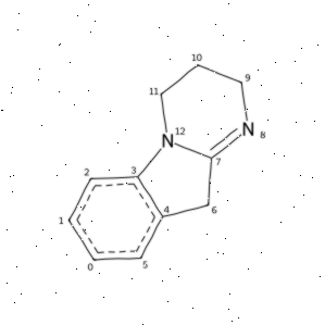 c1ccc2c(c1)CC1=NCCCN12